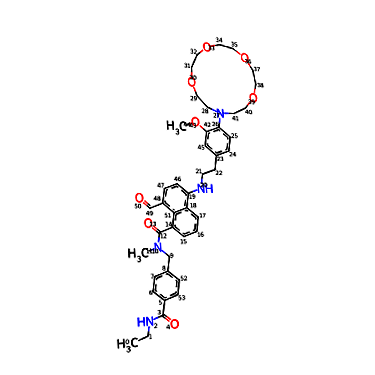 CCNC(=O)c1ccc(CN(C)C(=O)c2cccc3c(NCCc4ccc(N5CCOCCOCCOCCOCC5)c(OC)c4)ccc(C=O)c23)cc1